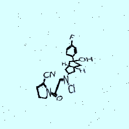 N#C[C@@H]1CCCN1C(=O)CN(Cl)[C@@H]1C[C@@H]2CC(O)(c3ccc(F)cc3)C[C@@H]2C1